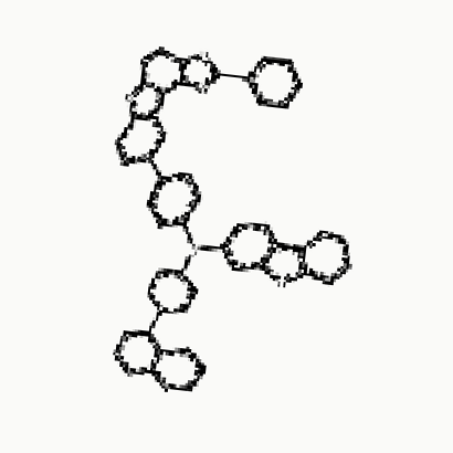 c1ccc(-c2nc3ccc4oc5ccc(-c6ccc(N(c7ccc(-c8cccc9ccccc89)cc7)c7ccc8c(c7)oc7ccccc78)cc6)cc5c4c3o2)cc1